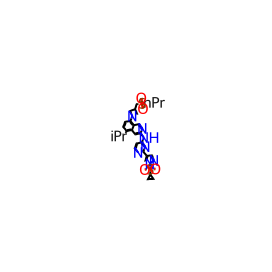 CCCS(=O)(=O)CC1CN(c2ccc(C(C)C)c3cc(Nc4ccnc(-c5cnn(S(=O)(=O)C6CC6)c5)n4)ncc23)C1